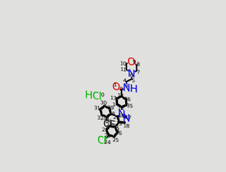 Cl.O=C(NCCN1CCOCC1)c1ccc(-n2ncc(-c3ccc(Cl)cc3)c2-c2ccccc2C(F)(F)F)cc1